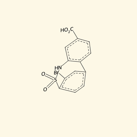 O=C(O)c1ccc2c(c1)NS(=O)(=O)c1ccc-2cc1Br